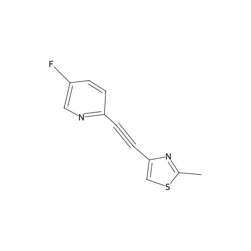 Cc1nc(C#Cc2ccc(F)cn2)cs1